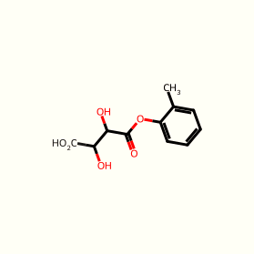 Cc1ccccc1OC(=O)C(O)C(O)C(=O)O